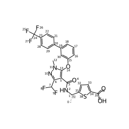 C[C@H](NC(=O)c1c(C(F)F)nn(C)c1Oc1cccc(-c2ccc(C(F)(F)F)cc2)c1)c1ccc(C(=O)O)s1